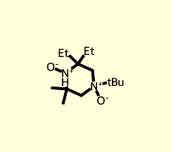 CCC1(CC)C[N+]([O-])(C(C)(C)C)CC(C)(C)[NH+]1[O-]